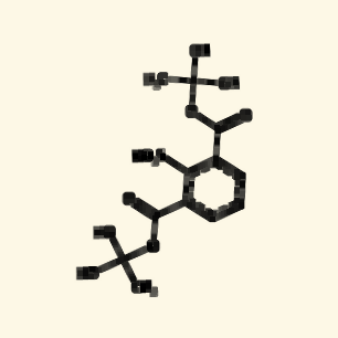 CC(O)(O)OC(=O)c1cccc(C(=O)OC(C)(O)O)c1S(=O)(=O)O